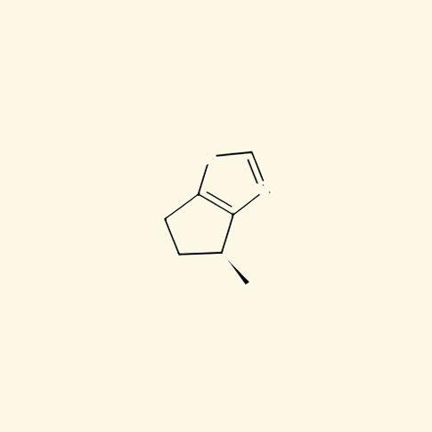 C[C@H]1CCc2scnc21